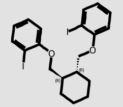 Ic1ccccc1OC[C@@H]1CCCC[C@H]1COc1ccccc1I